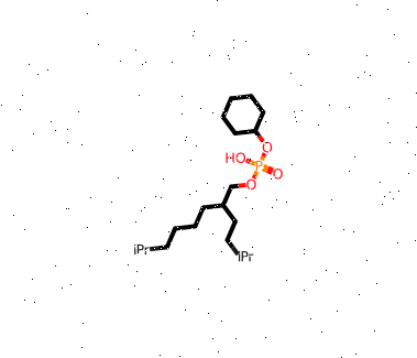 CC(C)CCCCC(CCC(C)C)COP(=O)(O)OC1CCCCC1